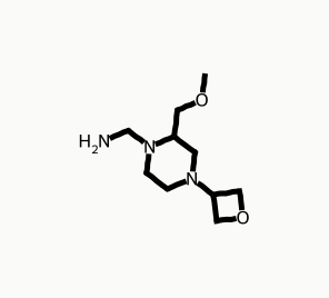 COCC1CN(C2COC2)CCN1CN